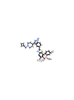 CCOC(=O)[C@@H](OC(C)(C)C)c1c(C)cc2nc(-c3ccc4c(c3)c(C3CCN(CC5CCC5)CC3)nn4C)sc2c1-c1ccc(Cl)cc1